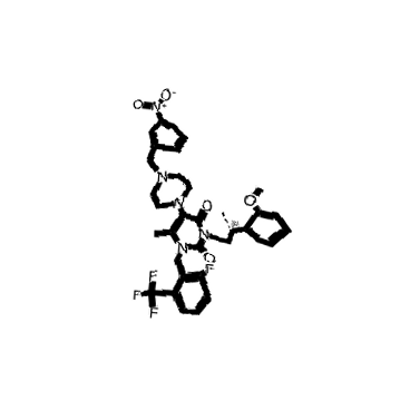 COc1ccccc1[C@@H](C)Cn1c(=O)c(N2CCN(Cc3cccc([N+](=O)[O-])c3)CC2)c(C)n(Cc2c(F)cccc2C(F)(F)F)c1=O